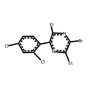 CCc1nc(-c2ccc(Cl)cc2Cl)c(CC)nc1Br